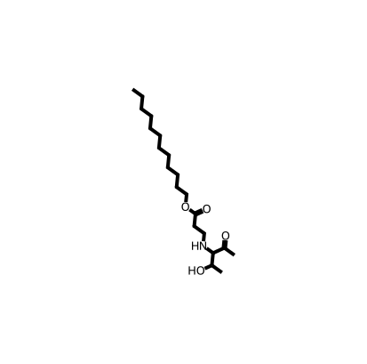 CCCCCCCCCCCCOC(=O)CCNC(C(C)=O)C(C)O